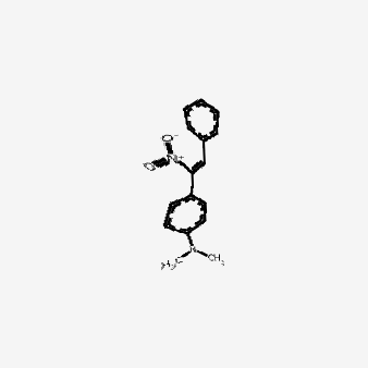 CN(C)c1ccc(C(=Cc2ccccc2)[N+](=O)[O-])cc1